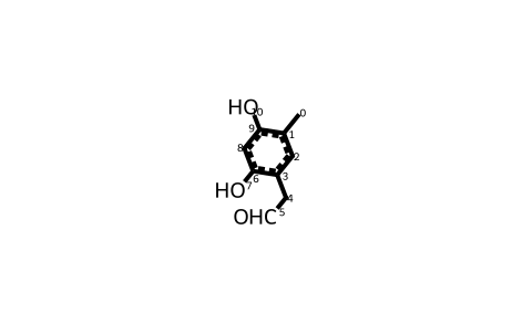 Cc1cc(CC=O)c(O)cc1O